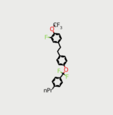 CCCc1ccc(C(F)(F)Oc2ccc(CCc3ccc(OC(F)(F)F)c(F)c3)cc2)cc1